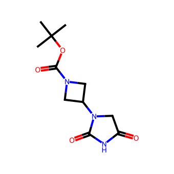 CC(C)(C)OC(=O)N1CC(N2CC(=O)NC2=O)C1